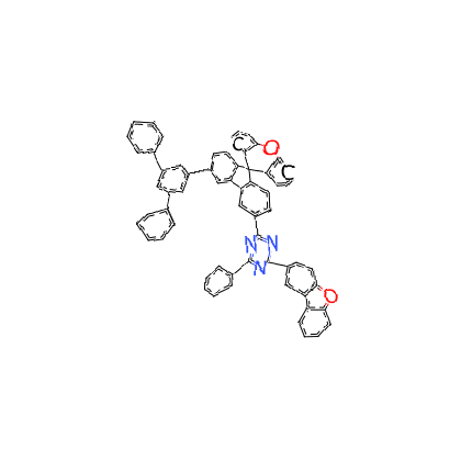 c1ccc(-c2cc(-c3ccccc3)cc(-c3ccc4c(c3)-c3cc(-c5nc(-c6ccccc6)nc(-c6ccc7oc8ccccc8c7c6)n5)ccc3C43c4ccccc4Oc4ccccc43)c2)cc1